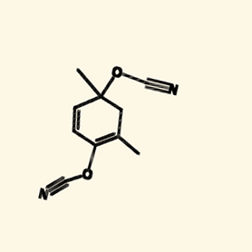 CC1=C(OC#N)C=CC(C)(OC#N)C1